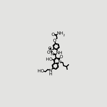 CC(C)CCn1c(=O)c(C2=NS(=O)(=O)c3cc(OCC(N)=O)ccc3N2)c(O)c2cc(NCCO)ccc21